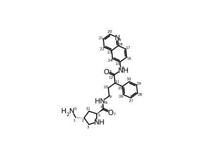 NC[C@H]1CN[C@H](C(=O)NCCC(C(=O)Nc2ccc3ncccc3c2)c2ccccc2)C1